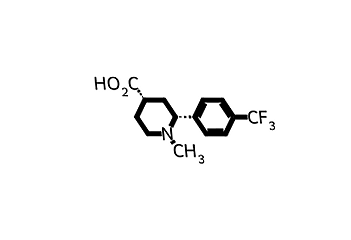 CN1CC[C@H](C(=O)O)C[C@@H]1c1ccc(C(F)(F)F)cc1